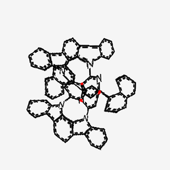 c1cc(-n2c3ccccc3c3ccc4c5ccccc5n(-c5cccc(-c6cccc7ccccc67)n5)c4c32)cc(-n2c3ccccc3c3ccc4c5ccccc5n(-c5cccc(-c6cccc7ccccc67)n5)c4c32)c1